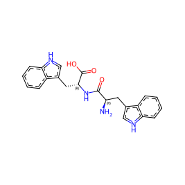 N[C@H](Cc1c[nH]c2ccccc12)C(=O)N[C@H](Cc1c[nH]c2ccccc12)C(=O)O